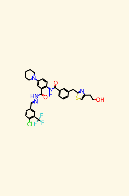 O=C(Nc1ccc(N2CCCCC2)cc1C(=O)N/N=C/c1ccc(Cl)c(C(F)(F)F)c1)c1cccc(Cc2nc(CCO)cs2)c1